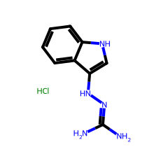 Cl.NC(N)=NNc1c[nH]c2ccccc12